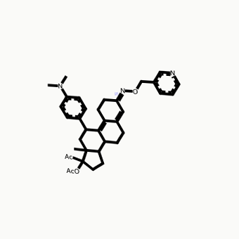 CC(=O)OC1(C(C)=O)CCC2C3CCC4=C/C(=N\OCc5cccnc5)CCC4=C3C(c3ccc(N(C)C)cc3)CC21C